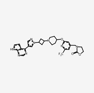 O=C1OCCN1Cc1cc(OC2CCN(C3CC(n4cc(-c5ncnc6[nH]ccc56)cn4)C3)CC2)nc(C(F)(F)F)c1